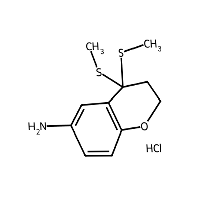 CSC1(SC)CCOc2ccc(N)cc21.Cl